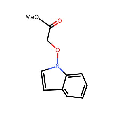 COC(=O)COn1ccc2ccccc21